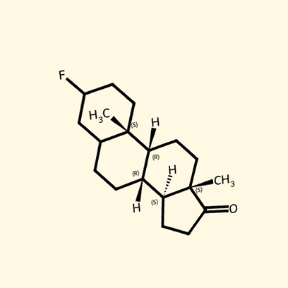 C[C@]12CCC(F)CC1CC[C@@H]1[C@H]2CC[C@]2(C)C(=O)CC[C@@H]12